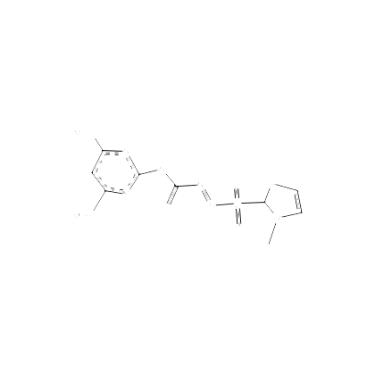 COc1cc(OC)nc(NC(=O)/N=N/S(=O)(=O)C2SC=CN2C)n1